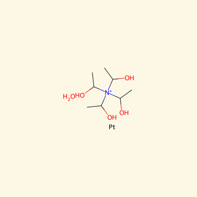 CC(O)[N+](C(C)O)(C(C)O)C(C)O.O.[Pt]